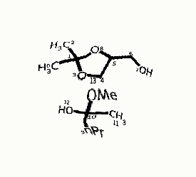 CC1(C)OCC(CO)O1.CCCC(C)(O)OC